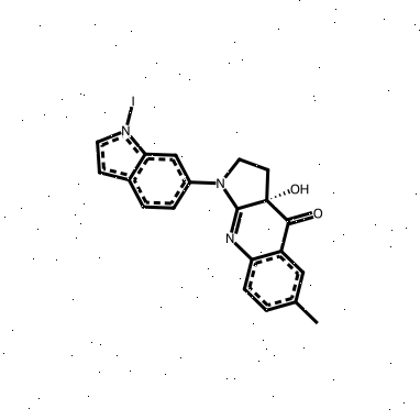 Cc1ccc2c(c1)C(=O)[C@]1(O)CCN(c3ccc4ccn(I)c4c3)C1=N2